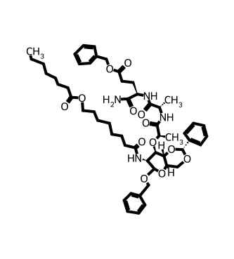 CCCCCCCC(=O)OCCCCCCCC(=O)N[C@H]1C(OCc2ccccc2)O[C@@H]2CO[C@@H](c3ccccc3)O[C@H]2[C@@H]1O[C@H](C)C(=O)N[C@@H](C)C(=O)N[C@H](CCC(=O)OCc1ccccc1)C(N)=O